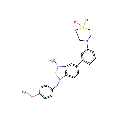 CN1SN(Cc2ccc(OC(F)(F)F)cc2)c2ccc(-c3cccc(N4CCS(O)(O)CC4)c3)cc21